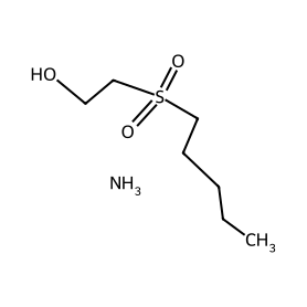 CCCCCS(=O)(=O)CCO.N